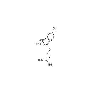 Cc1ccc2c(CCCC(N)N)c[nH]c2c1.Cl